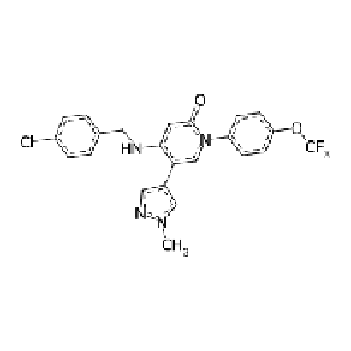 Cn1cc(-c2cn(-c3ccc(OC(F)(F)F)cc3)c(=O)cc2NCc2ccc(Cl)cc2)cn1